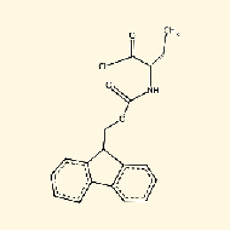 CC[C@H](NC(=O)OCC1c2ccccc2-c2ccccc21)C(=O)Cl